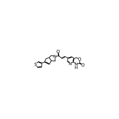 O=C1Nc2ncc(/C=C/C(=O)N3CC4C=C(c5ccsc5)CC4C3)cc2CO1